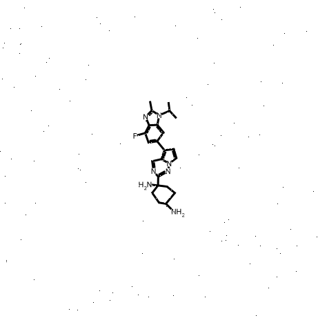 Cc1nc2c(F)cc(-c3ccn4nc(C5(N)CCC(N)CC5)ncc34)cc2n1C(C)C